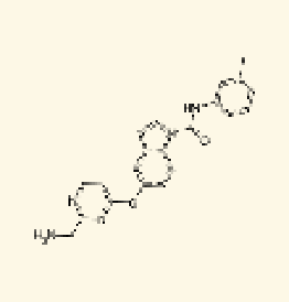 Cc1cccc(NC(=O)n2ccc3cc(Oc4ccnc(CN)n4)ccc32)c1